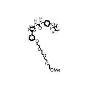 COCCOCCOCCOCCOc1cccc(-c2nnc(NC(=O)Nc3ccc(OC(F)(F)C(F)F)cc3)s2)c1